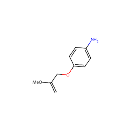 C=C(COc1ccc(N)cc1)OC